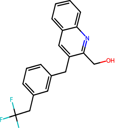 OCc1nc2ccccc2cc1Cc1cccc(CC(F)(F)F)c1